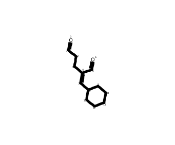 O=CCCC(C=O)=CC1CCCCC1